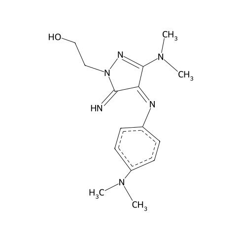 CN(C)C1=NN(CCO)C(=N)C1=Nc1ccc(N(C)C)cc1